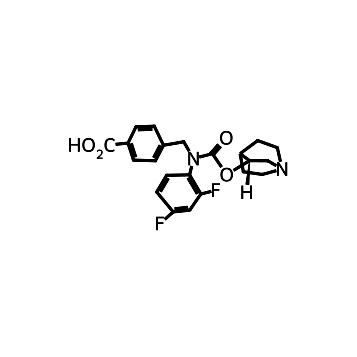 O=C(O)c1ccc(CN(C(=O)O[C@H]2CN3CCC2CC3)c2ccc(F)cc2F)cc1